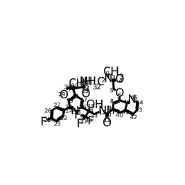 CN(C)C(=O)COc1cc(C(=O)NCC(O)(c2cc3c(c(-c4ccc(F)cc4)n2)OC[C@]3(C)C(N)=O)C(F)(F)F)cc2cccnc12